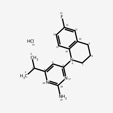 CC(C)c1cc(N2CCCc3cc(F)ccc32)nc(N)n1.Cl